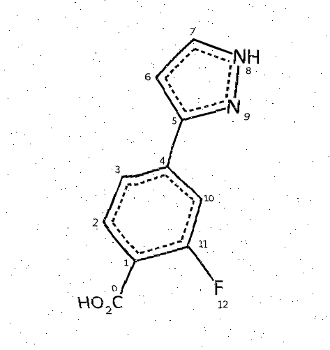 O=C(O)c1ccc(-c2cc[nH]n2)cc1F